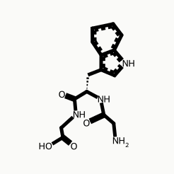 NCC(=O)N[C@@H](Cc1c[nH]c2ccccc12)C(=O)NCC(=O)O